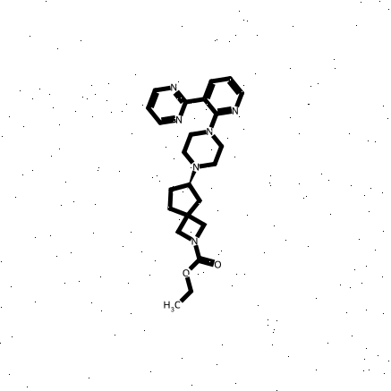 CCOC(=O)N1CC2(CC[C@@H](N3CCN(c4ncccc4-c4ncccn4)CC3)C2)C1